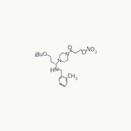 Cc1ccccc1CNC(CCOCC(C)C)N1CCN(C(=O)CCO[N+](=O)[O-])CC1